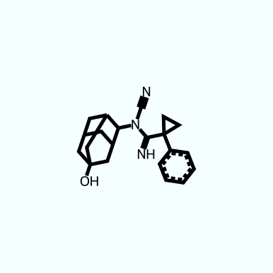 N#CN(C(=N)C1(c2ccccc2)CC1)C1C2CC3CC1CC(O)(C3)C2